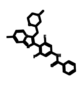 Cc1ccn2c(CC3CN(C)CCO3)c(-c3c(F)cc(NC(=O)c4ccccc4)cc3F)nc2c1